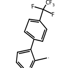 [CH2]c1ccccc1-c1ccc(C(F)(F)C(F)(F)F)cc1